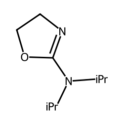 CC(C)N(C1=NCCO1)C(C)C